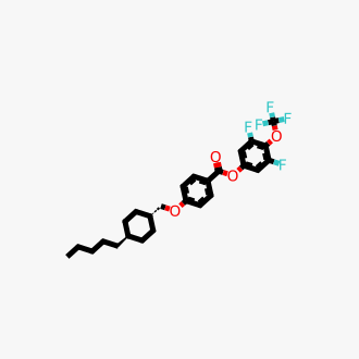 CCCCC[C@H]1CC[C@H](COc2ccc(C(=O)Oc3cc(F)c(OC(F)(F)F)c(F)c3)cc2)CC1